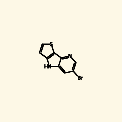 Brc1cnc2c(c1)[nH]c1ccsc12